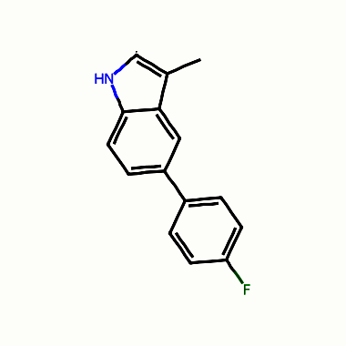 Cc1[c][nH]c2ccc(-c3ccc(F)cc3)cc12